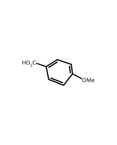 [CH2-][OH+]c1ccc(C(=O)O)cc1